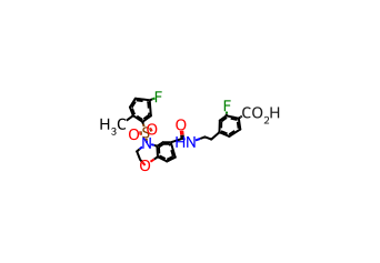 Cc1ccc(F)cc1S(=O)(=O)N1CCOc2ccc(C(=O)NCCc3ccc(C(=O)O)c(F)c3)cc21